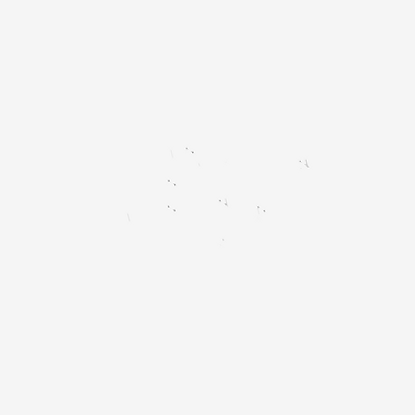 Cn1cc(NC(=O)c2cccc(-c3cccnc3)n2)c(C(N)=O)n1